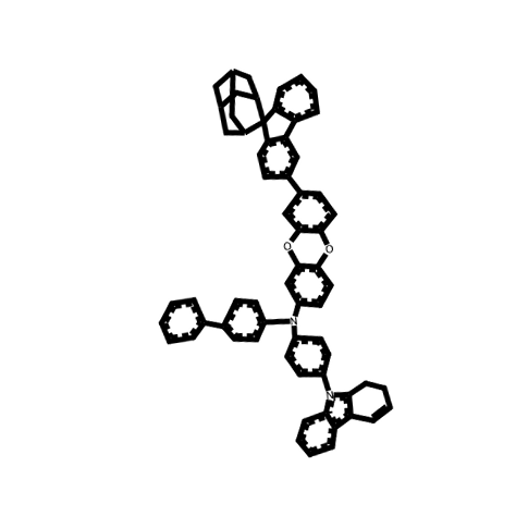 C1=Cc2c(n(-c3ccc(N(c4ccc(-c5ccccc5)cc4)c4ccc5c(c4)Oc4cc(-c6ccc7c(c6)-c6ccccc6C76C7CC8CC(C7)CC6C8)ccc4O5)cc3)c3ccccc23)CC1